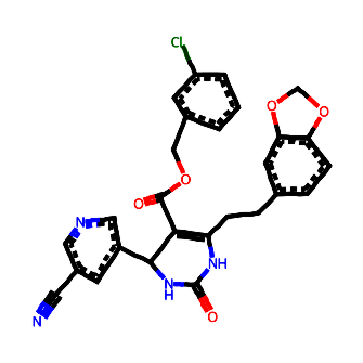 N#Cc1cncc(C2NC(=O)NC(CCc3ccc4c(c3)OCO4)=C2C(=O)OCc2cccc(Cl)c2)c1